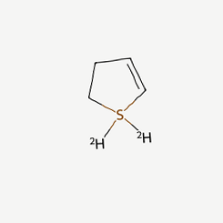 [2H]S1([2H])C=CCC1